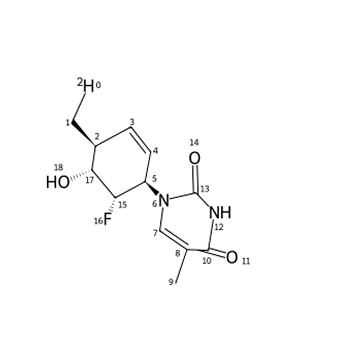 [2H]C[C@H]1C=C[C@@H](n2cc(C)c(=O)[nH]c2=O)[C@H](F)[C@@H]1O